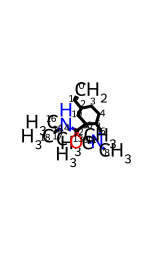 C=CC1CCC(CN(C)C)C(C)(C(=O)NC(C)(C)C)C1